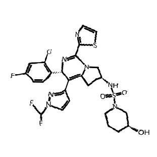 O=S(=O)(N[C@H]1CC2=C(c3ccn(C(F)F)n3)[C@H](c3ccc(F)cc3Cl)N=C(c3nccs3)N2C1)N1CCC[C@H](O)C1